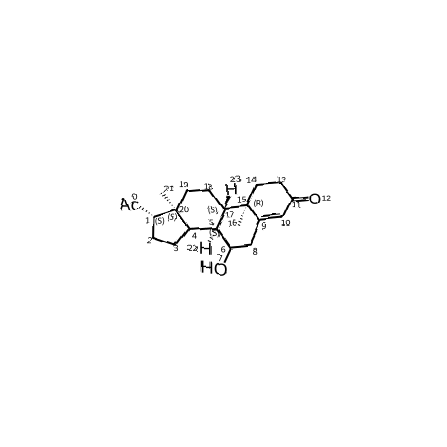 CC(=O)[C@H]1CCC2[C@@H]3C(O)CC4=CC(=O)CC[C@]4(C)[C@H]3CC[C@@]21C